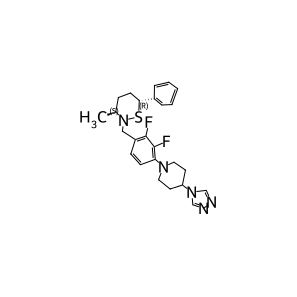 C[C@H]1CC[C@H](c2ccccc2)SN1Cc1ccc(N2CCC(n3cnnc3)CC2)c(F)c1F